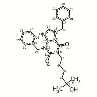 CC(C)(O)CCCCn1c(=O)c2c(ncn2Cc2ccccc2)n(Cc2ccccc2)c1=O